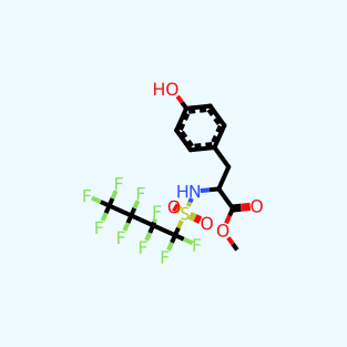 COC(=O)C(Cc1ccc(O)cc1)NS(=O)(=O)C(F)(F)C(F)(F)C(F)(F)C(F)(F)F